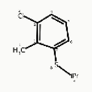 Cc1c(Cl)cccc1SC(C)C